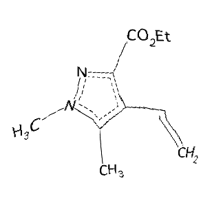 C=Cc1c(C(=O)OCC)nn(C)c1C